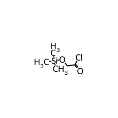 C[Si](C)(C)OCC(=O)Cl